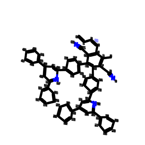 C=C/C=C\c1c(C)c(C#N)c(-c2ccc(-c3cc(-c4ccccc4)cc(-c4ccccc4)n3)cc2)c(-c2ccc(-c3cc(-c4ccccc4)cc(-c4ccccc4)n3)cc2)c1C#N